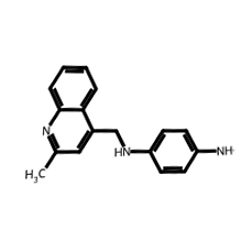 Cc1cc(CNc2ccc([NH])cc2)c2ccccc2n1